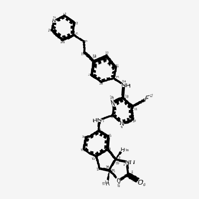 O=C1N[C@H]2c3cc(Nc4ncc(F)c(Nc5ccc(CCc6ccncc6)cc5)n4)ccc3C[C@H]2O1